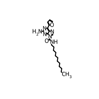 CCCCCCCCCCCCNC(=O)n1cnc2c(-c3ccco3)nc(N)nc21